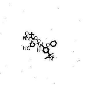 CC(=O)N[C@H](C(=O)N1C[C@H](O)C[C@H]1C(=O)N[C@@H](C)c1ccc(-c2scnc2C)cc1OC1CCCCC1)C(C)(C)C